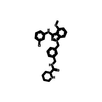 COc1cccc2c1c(Nc1cccc(Cl)c1)nn2Cc1cccc(CNC(=O)C2CCCCN2)c1